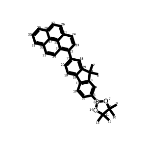 CC1(C)c2cc(B3OC(C)(C)C(C)(C)O3)ccc2-c2ccc(-c3ccc4ccc5cccc6ccc3c4c56)cc21